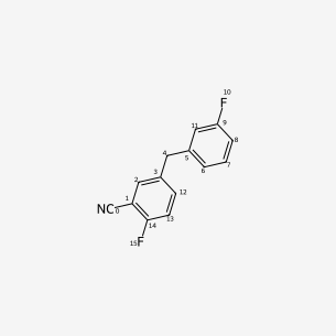 N#Cc1cc(Cc2cccc(F)c2)ccc1F